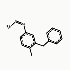 Cc1ccc(/N=N\N)cc1Cc1ccccc1